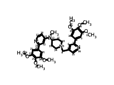 COc1cc(-c2cc(CN3CCC(N(C)c4ccnc(-c5cc(OC)c(OC)c(OC)c5)c4)CC3)ccn2)cc(OC)c1OC